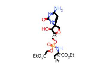 CCOC(=O)COP(=O)(N[C@@H](CC(C)C)C(=O)OCC)OC[C@H]1OCC2(c3cc(N)nc(=O)n32)C1O